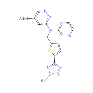 CC(=O)Nc1cnnc(N(Cc2ccc(-c3noc(C(F)(F)F)n3)s2)c2cnccn2)c1